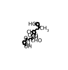 CP(CCc1cc(Cl)c(C(=O)NC(C=O)CNC(=O)c2cccc(O)c2)c(Cl)c1)c1cccc(O)c1